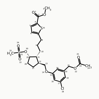 COC(=O)c1ccc(CCC[C@@H]2[C@@H](COc3cc(Cl)cc(COC(C)=O)c3)CC[C@@H]2OS(C)(=O)=O)s1